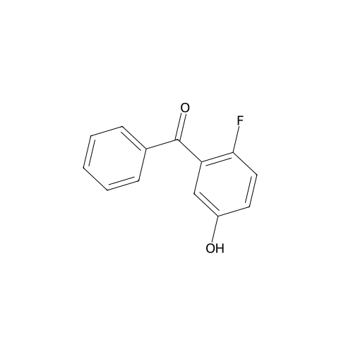 O=C(c1ccccc1)c1cc(O)ccc1F